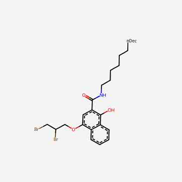 CCCCCCCCCCCCCCCCNC(=O)c1cc(OCC(Br)CBr)c2ccccc2c1O